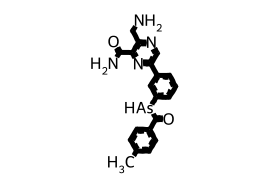 Cc1ccc(C(=O)[AsH]c2cccc(-c3cnc(CN)c(C(N)=O)n3)c2)cc1